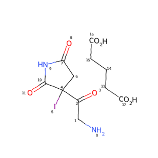 NCC(=O)C1(I)CC(=O)NC1=O.O=C(O)CCCC(=O)O